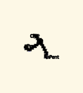 CCCCC/C=C\C/C=C\CCCCCCCCC1(CCCCCCCC/C=C\C/C=C\CCCCC)OCC(CC[N+](C)(C)CCl)O1